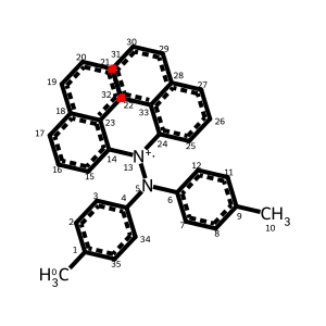 Cc1ccc(N(c2ccc(C)cc2)[N+](c2cccc3ccccc23)c2cccc3ccccc23)cc1